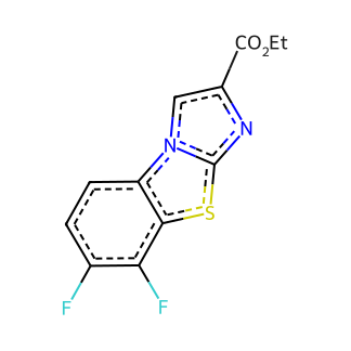 CCOC(=O)c1cn2c(n1)sc1c(F)c(F)ccc12